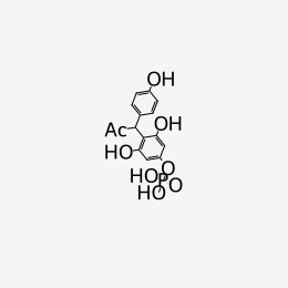 CC(=O)C(c1ccc(O)cc1)c1c(O)cc(OP(=O)(O)O)cc1O